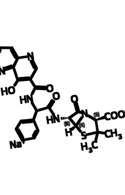 CC1(C)S[C@@H]2[C@H](NC(=O)C(NC(=O)c3cnc4cccnc4c3O)c3ccccc3)C(=O)N2[C@H]1C(=O)[O-].[Na+]